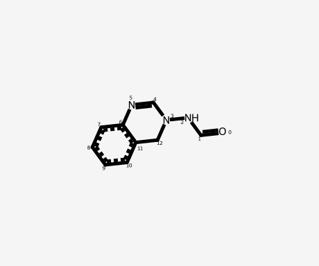 O=CNN1C=Nc2ccccc2C1